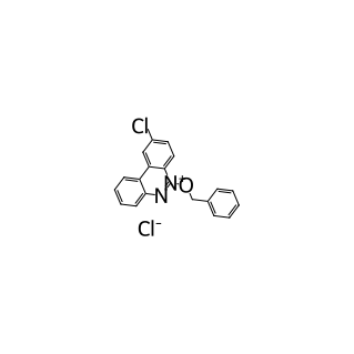 Clc1ccc2c(c1)c1ccccc1n[n+]2OCc1ccccc1.[Cl-]